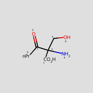 CCCC(=O)C(N)(CO)C(=O)O